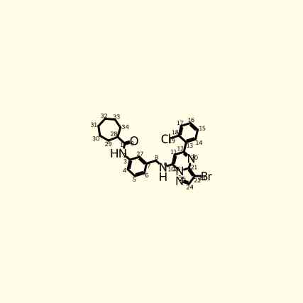 O=C(Nc1cccc(CNc2cc(-c3ccccc3Cl)nc3c(Br)cnn23)c1)C1CCCCCC1